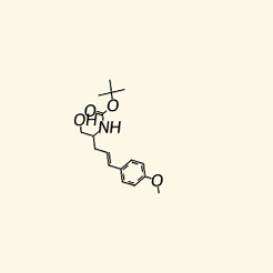 COc1ccc(C=CCC(CO)NC(=O)OC(C)(C)C)cc1